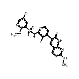 CNc1ncc2cc(-c3ccnc(NS(=O)(=O)c4cc(Cl)cnc4OC)c3F)c(=O)[nH]c2n1